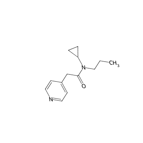 CCCN(C(=O)Cc1ccncc1)C1CC1